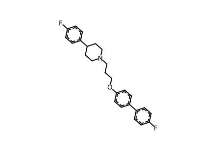 Fc1ccc(-c2ccc(OCCCN3CCC(c4ccc(F)cc4)CC3)cc2)cc1